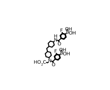 O=C(O)CN(C(=O)c1ccc(B(O)O)c(F)c1)C1CCC(CC2CCC(NC(=O)c3ccc(B(O)O)c(F)c3)CC2)CC1